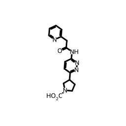 O=C(Cc1ccccn1)Nc1ccc(C2CCN(C(=O)O)C2)nn1